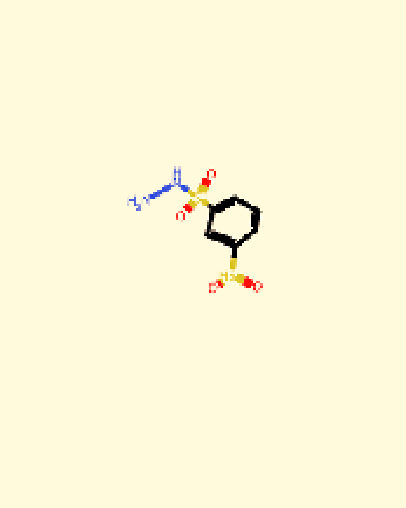 NNS(=O)(=O)c1cccc([SH](=O)=O)c1